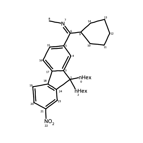 CCCCCCC1(CCCCCC)c2cc(/C(=N\C)C3CCCCC3)ccc2-c2ccc([N+](=O)[O-])cc21